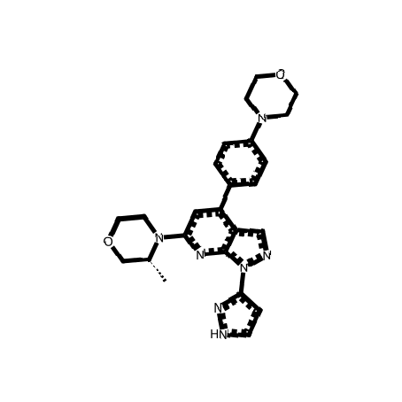 C[C@@H]1COCCN1c1cc(-c2ccc(N3CCOCC3)cc2)c2cnn(-c3cc[nH]n3)c2n1